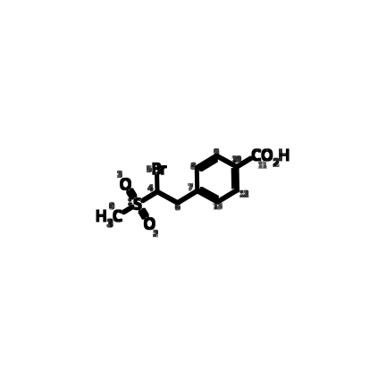 CS(=O)(=O)C(Br)Cc1ccc(C(=O)O)cc1